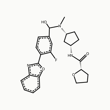 CN(C(O)c1ccc(-c2nc3ccccc3o2)c(F)c1)[C@@H]1CC[C@H](NC(=O)[C@@H]2CCCO2)C1